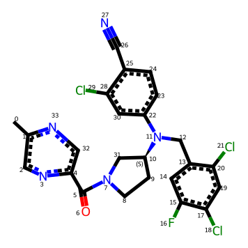 Cc1cnc(C(=O)N2CC[C@H](N(Cc3cc(F)c(Cl)cc3Cl)c3ccc(C#N)c(Cl)c3)C2)cn1